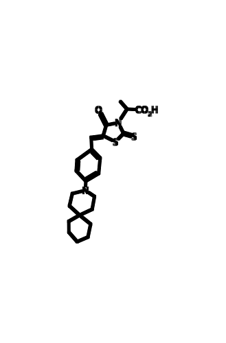 CC(C(=O)O)N1C(=O)C(=Cc2ccc(N3CCC4(CCCCC4)CC3)cc2)SC1=S